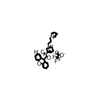 CN(C(=O)C1c2ccccc2Oc2ccccc21)C1C[N+]2(CCCn3cccc3)CCC1CC2.O=C([O-])C(F)(F)F